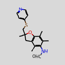 Cc1c(C)c2c(c(C)c1NC=O)CC(C)(CSc1ccncc1)O2